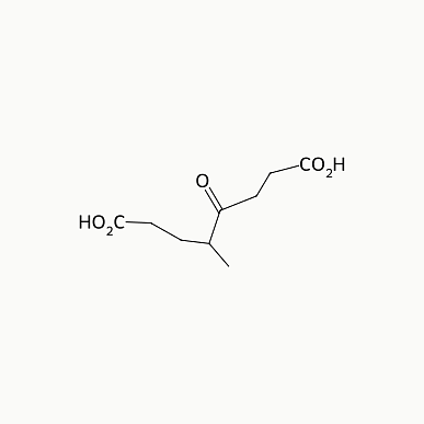 CC(CCC(=O)O)C(=O)CCC(=O)O